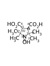 CC1(C)[C@H](C(=O)O)[C@H](C(=O)O)C(C)(C)N1O